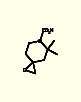 CC1(C)CC2(CCN1C(=O)O)CO2